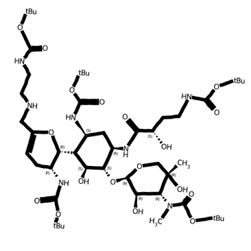 CN(C(=O)OC(C)(C)C)[C@@H]1[C@@H](O)[C@@H](O[C@H]2[C@H](NC(=O)[C@@H](O)CCNC(=O)OC(C)(C)C)C[C@H](NC(=O)OC(C)(C)C)C([C@H]3OC(CNCCNC(=O)OC(C)(C)C)=CC[C@H]3NC(=O)OC(C)(C)C)[C@@H]2O)OC[C@]1(C)O